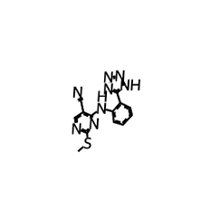 CSc1ncc(C#N)c(Nc2ccccc2-c2nnn[nH]2)n1